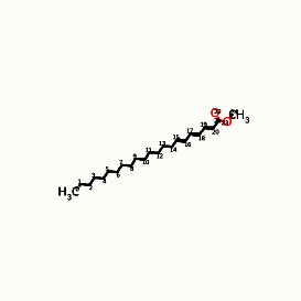 CCCCCCCCCCCCCCC/C=C/C=C/C=C/C(=O)OC